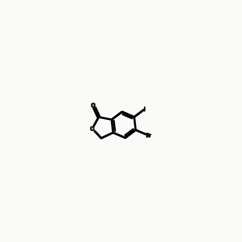 O=C1OCc2cc(Br)c(I)cc21